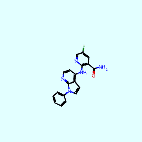 NC(=O)c1cc(F)cnc1Nc1ccnc2c1ccn2-c1ccccc1